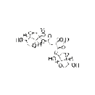 O=C(CC(C(=O)O[C@@]1(O)CO[C@@H]2[C@H](O)CO[C@@H]21)S(=O)(=O)O)O[C@@]1(O)CO[C@@H]2[C@H](O)CO[C@@H]21